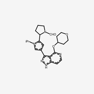 CC(C)n1cc(-c2n[nH]c3ccnc(OC4CCOCC4)c23)cc1C1CCCN1C=O